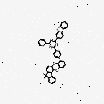 CC1(C)c2ccccc2-c2c1ccc1c2Oc2cccc(-c3ccc(-c4nc(-c5ccc6c(c5)sc5ccccc56)nc(C5C=CC=CC5)n4)cc3)c2O1